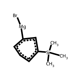 C[Si](C)(C)c1ccc[c]([Mg][Br])c1